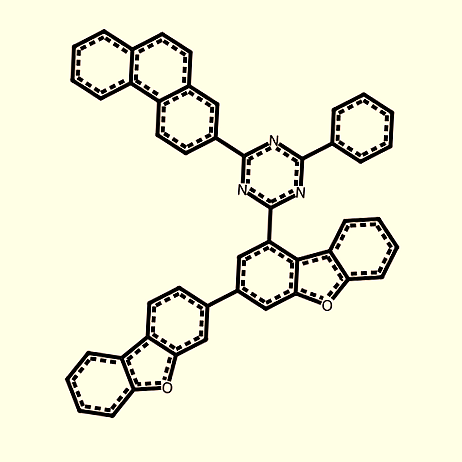 c1ccc(-c2nc(-c3ccc4c(ccc5ccccc54)c3)nc(-c3cc(-c4ccc5c(c4)oc4ccccc45)cc4oc5ccccc5c34)n2)cc1